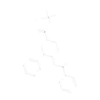 CC(C)(C)OC(=O)N1CCC(NC(=O)c2ccccc2)C(c2ccccc2)C1